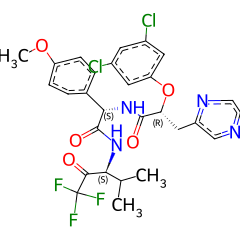 COc1ccc([C@H](NC(=O)[C@@H](Cc2cnccn2)Oc2cc(Cl)cc(Cl)c2)C(=O)N[C@H](C(=O)C(F)(F)F)C(C)C)cc1